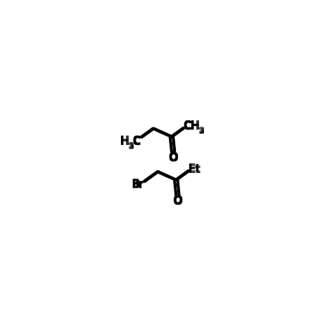 CCC(=O)CBr.CCC(C)=O